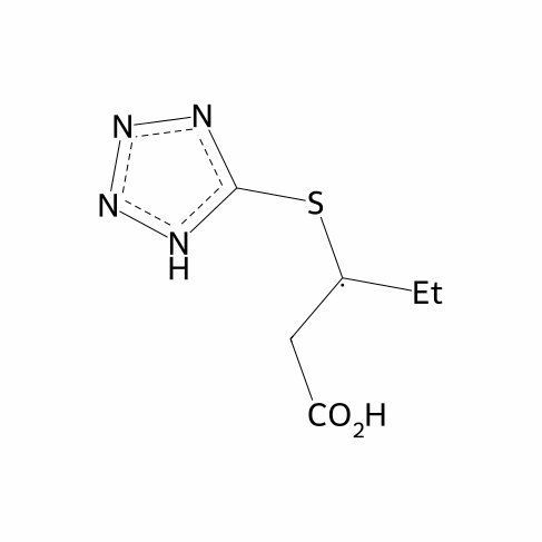 CC[C](CC(=O)O)Sc1nnn[nH]1